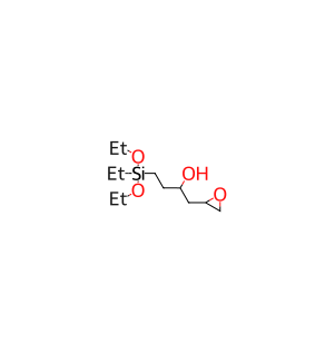 CCO[Si](CC)(CCC(O)CC1CO1)OCC